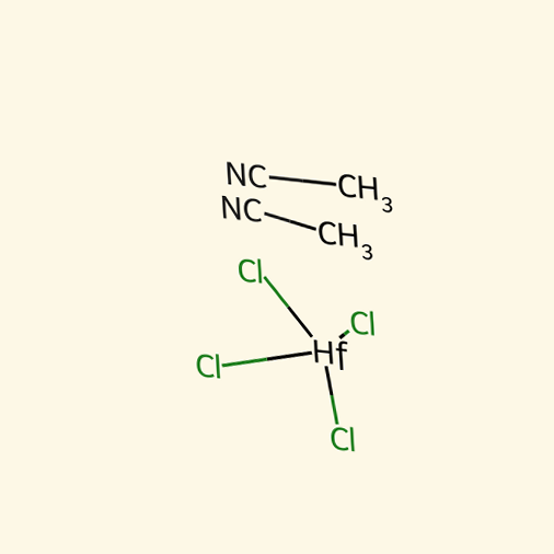 CC#N.CC#N.[Cl][Hf]([Cl])([Cl])[Cl]